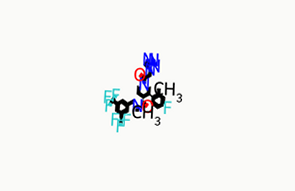 Cc1cc(F)ccc1[C@@H]1CN(C(=O)Cn2cnnn2)CC[C@H]1C(=O)N(C)Cc1cc(C(F)(F)F)cc(C(F)(F)F)c1